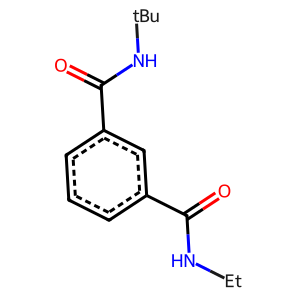 CCNC(=O)c1cccc(C(=O)NC(C)(C)C)c1